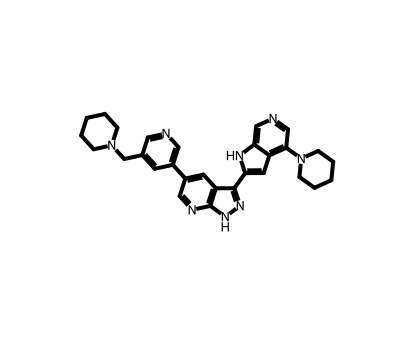 c1ncc(-c2cnc3[nH]nc(-c4cc5c(N6CCCCC6)cncc5[nH]4)c3c2)cc1CN1CCCCC1